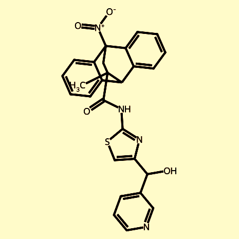 CC1(C(=O)Nc2nc(C(O)c3cccnc3)cs2)CC2([N+](=O)[O-])c3ccccc3C1c1ccccc12